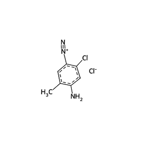 Cc1cc([N+]#N)c(Cl)cc1N.[Cl-]